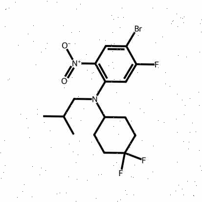 CC(C)CN(c1cc(F)c(Br)cc1[N+](=O)[O-])C1CCC(F)(F)CC1